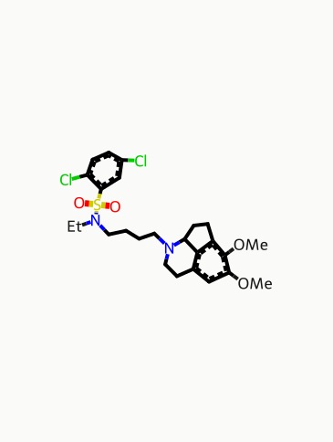 CCN(CCCCN1CCc2cc(OC)c(OC)c3c2C1CC3)S(=O)(=O)c1cc(Cl)ccc1Cl